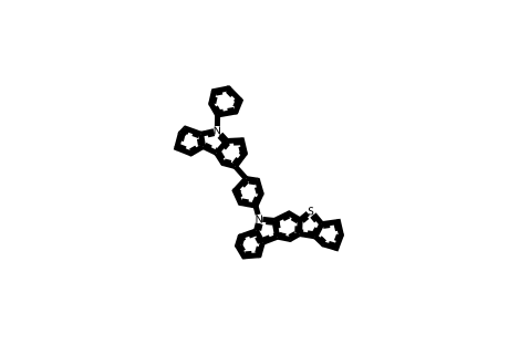 c1ccc(-n2c3ccccc3c3cc(-c4ccc(-n5c6ccccc6c6cc7c(cc65)sc5ccccc57)cc4)ccc32)cc1